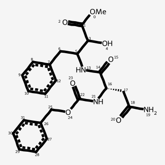 COC(=O)C(O)C(Cc1ccccc1)NC(=O)[C@H](CC(N)=O)NC(=O)OCc1ccccc1